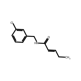 CC/C=C/C(=O)NCc1cccc(Cl)c1